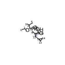 CCOC(C(C)C)[PH](=O)C/C(=C/C1CC1)C(=O)O